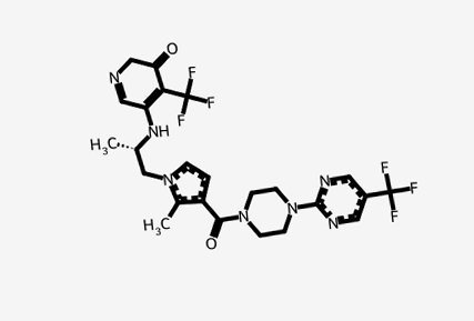 Cc1c(C(=O)N2CCN(c3ncc(C(F)(F)F)cn3)CC2)ccn1C[C@H](C)NC1=C(C(F)(F)F)C(=O)CN=C1